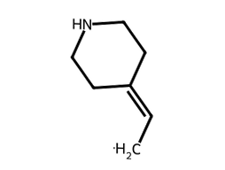 [CH2]C=C1CCNCC1